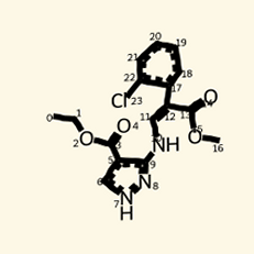 CCOC(=O)c1c[nH]nc1NC=C(C(=O)OC)c1ccccc1Cl